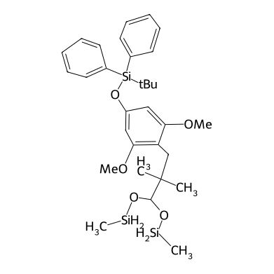 COc1cc(O[Si](c2ccccc2)(c2ccccc2)C(C)(C)C)cc(OC)c1CC(C)(C)C(O[SiH2]C)O[SiH2]C